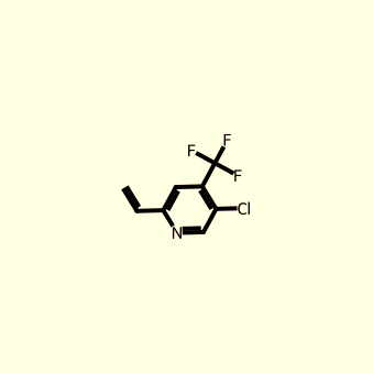 C=Cc1cc(C(F)(F)F)c(Cl)cn1